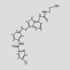 O=C(NCCO)Oc1cncc2c(COc3cccc(NC(=O)c4ccc(Cl)cc4)c3)csc12